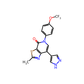 Cc1nc2c(-c3cn[nH]c3)cn(-c3ccc(OC(F)(F)F)cc3)c(=O)c2s1